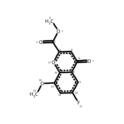 COC(=O)c1cc(=O)c2cc(F)cc(OC)c2o1